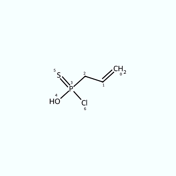 C=CCP(O)(=S)Cl